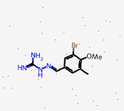 COc1c(C)cc(C=NNC(=N)N)cc1Br